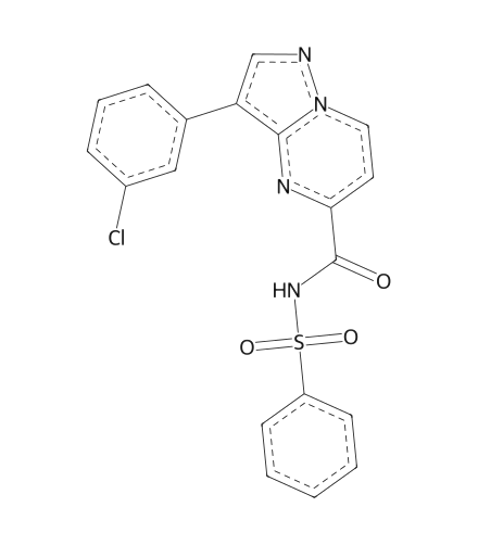 O=C(NS(=O)(=O)c1ccccc1)c1ccn2ncc(-c3cccc(Cl)c3)c2n1